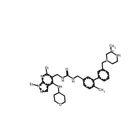 CCc1nc2c(cnn2CC)c(NC2CCOCC2)c1CNC(=O)NCc1ccc(C)c(-c2cccc(CN3CCN[C@H](C)C3)c2)c1